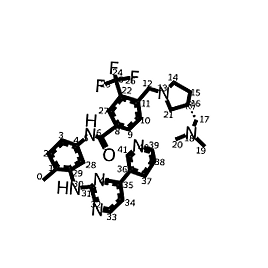 Cc1ccc(NC(=O)c2ccc(CN3CC[C@H](CN(C)C)C3)c(C(F)(F)F)c2)cc1Nc1nccc(-c2cccnc2)n1